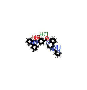 Cl.O=C(Nc1ccc(C(=O)N2CCc3nc(-c4ccccn4)[nH]c3-c3ccccc32)cc1O)c1ccccc1-c1ccccc1